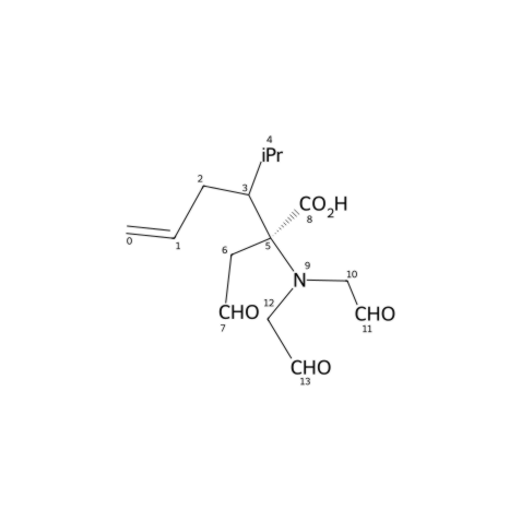 C=CCC(C(C)C)[C@@](CC=O)(C(=O)O)N(CC=O)CC=O